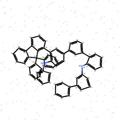 c1ccc(Nc2ccc(-c3cccc(-c4ccccc4Nc4cccc(-c5ccccc5)c4)c3)cc2-c2cccc3c2C(c2ccccc2)(c2ccccc2)c2ccccc2-3)cc1